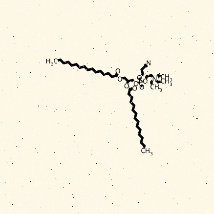 CCCCCCCCCCCCCCCC(=O)OCC(COP(=O)(OCCC#N)OCC[N+](CC)(CC)CC)OC(=O)CCCCCCCCCCCCCCC